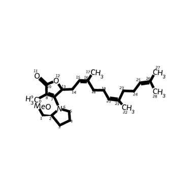 COC[C@@H]1CCCN1C1=C(C)C(=O)OC1CC=C(C)CCC=C(C)CCC=C(C)C